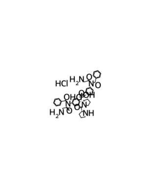 Cl.NCC(=O)N(C(=O)c1ccccc1)c1ccc([C@@H]2CCN(C(=O)[C@@H]3CCCN3)[C@@]2(c2ccc(N(C(=O)CN)C(=O)c3ccccc3)cc2)P(=O)(O)O)cc1